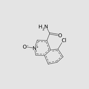 NC(=O)c1c[n+]([O-])cc2cccc(Cl)c12